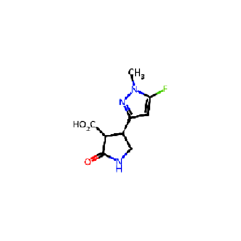 Cn1nc([C@H]2CNC(=O)C2C(=O)O)cc1F